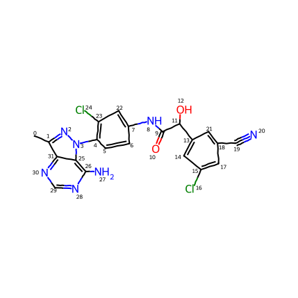 Cc1nn(-c2ccc(NC(=O)C(O)c3cc(Cl)cc(C#N)c3)cc2Cl)c2c(N)ncnc12